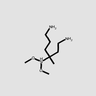 CO[SiH](OC)C(C)(CCN)CCCN